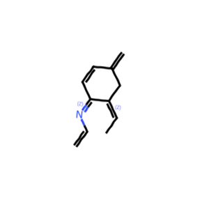 C=C/N=C1/C=CC(=C)C/C1=C/C